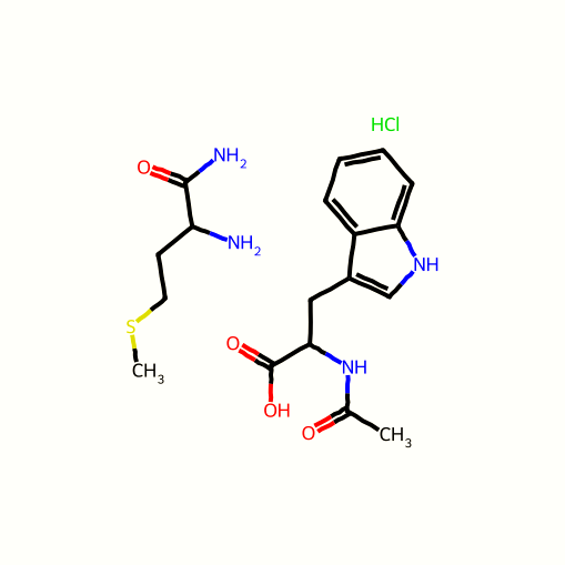 CC(=O)NC(Cc1c[nH]c2ccccc12)C(=O)O.CSCCC(N)C(N)=O.Cl